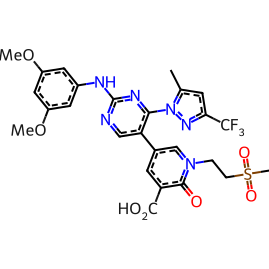 COc1cc(Nc2ncc(-c3cc(C(=O)O)c(=O)n(CCS(C)(=O)=O)c3)c(-n3nc(C(F)(F)F)cc3C)n2)cc(OC)c1